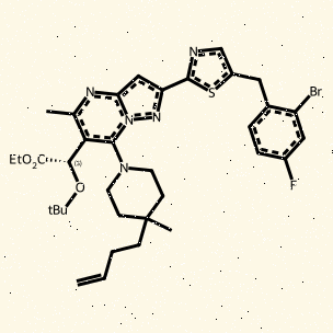 C=CCCC1(C)CCN(c2c([C@H](OC(C)(C)C)C(=O)OCC)c(C)nc3cc(-c4ncc(Cc5ccc(F)cc5Br)s4)nn23)CC1